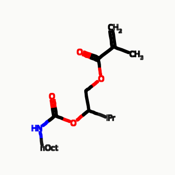 C=C(C)C(=O)OCC(OC(=O)NCCCCCCCC)C(C)C